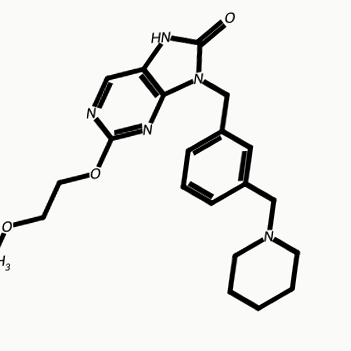 COCCOc1ncc2[nH]c(=O)n(Cc3cccc(CN4CCCCC4)c3)c2n1